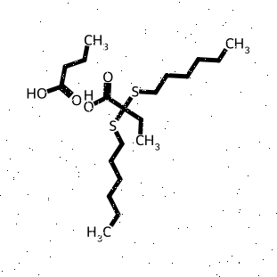 CCCC(=O)O.CCCCCCSC(CC)(SCCCCCC)C(=O)O